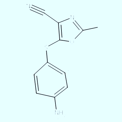 Cc1nc(C#N)c(Sc2ccc(N)cc2)o1